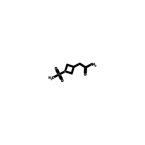 CS(=O)(=O)N1CC(CC(N)=O)C1